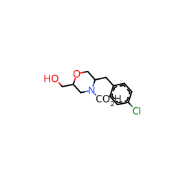 O=C(O)N1CC(CO)OCC1Cc1ccc(Cl)cc1